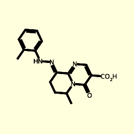 Cc1ccccc1NN=C1CCC(C)n2c1ncc(C(=O)O)c2=O